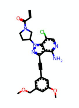 C=CC(=O)N1CCC(n2nc(C#Cc3cc(COC)cc(OC)c3)c3c(N)ncc(Cl)c32)C1